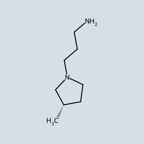 C[C@H]1CCN(CCCN)C1